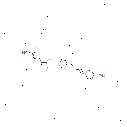 N#CC(F)=CCC[C@H]1CC[C@H]([C@H]2CC[C@H](CCCCc3ccc(C#N)cc3)CC2)CC1